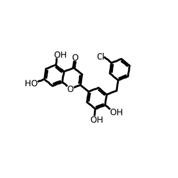 O=c1cc(-c2cc(O)c(O)c(Cc3cccc(Cl)c3)c2)oc2cc(O)cc(O)c12